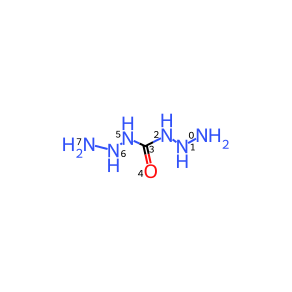 NNNC(=O)NNN